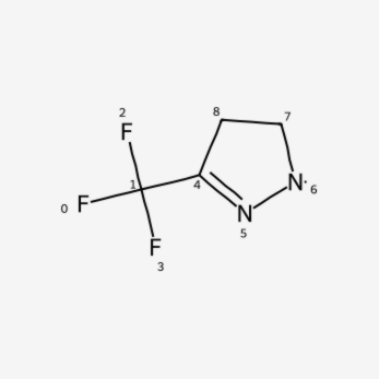 FC(F)(F)C1=N[N]CC1